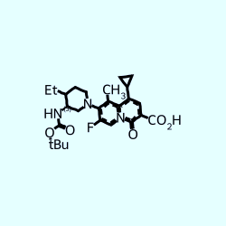 CCC1CCN(c2c(F)cn3c(=O)c(C(=O)O)cc(C4CC4)c3c2C)C[C@H]1NC(=O)OC(C)(C)C